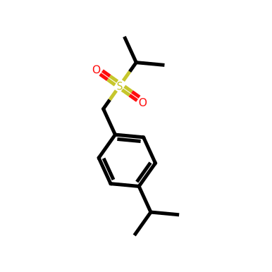 CC(C)c1ccc(CS(=O)(=O)C(C)C)cc1